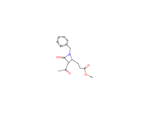 COC(=O)CCC1C(C(C)=O)C(=O)N1Cc1ccccc1